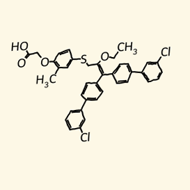 CCOC(CSc1ccc(OCC(=O)O)c(C)c1)=C(c1ccc(-c2cccc(Cl)c2)cc1)c1ccc(-c2cccc(Cl)c2)cc1